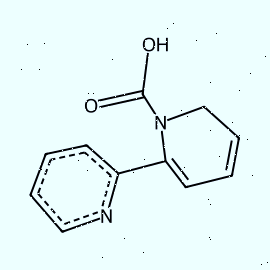 O=C(O)N1CC=CC=C1c1ccccn1